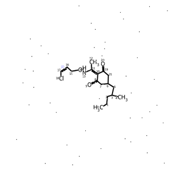 CCCC(C)CC1CC(=O)C(=C(C)NOC/C=C\Cl)C(=O)C1